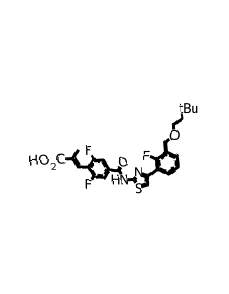 CC(=Cc1c(F)cc(C(=O)Nc2nc(-c3cccc(COCCC(C)(C)C)c3F)cs2)cc1F)C(=O)O